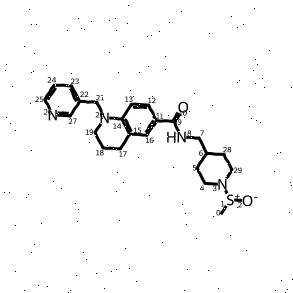 C[S+]([O-])N1CCC(CNC(=O)c2ccc3c(c2)CCCN3Cc2cccnc2)CC1